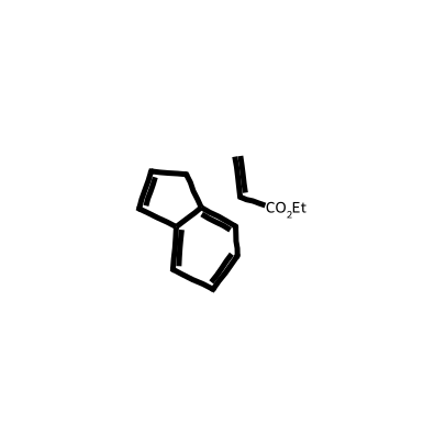 C1=Cc2ccccc2C1.C=CC(=O)OCC